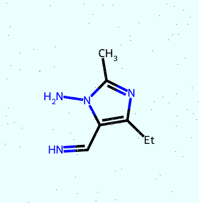 CCc1nc(C)n(N)c1C=N